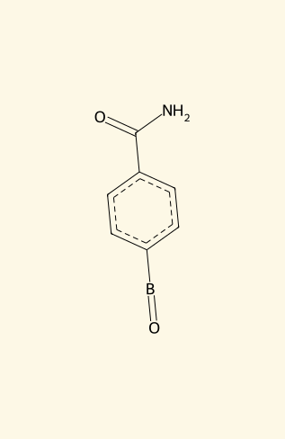 NC(=O)c1ccc(B=O)cc1